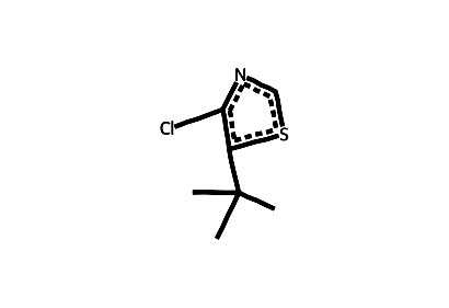 CC(C)(C)c1scnc1Cl